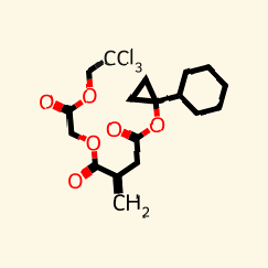 C=C(CC(=O)OC1(C2CCCCC2)CC1)C(=O)OCC(=O)OCC(Cl)(Cl)Cl